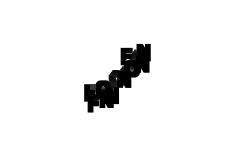 Fc1cncnc1OCc1ccc(-c2nnc(C(F)F)o2)cn1